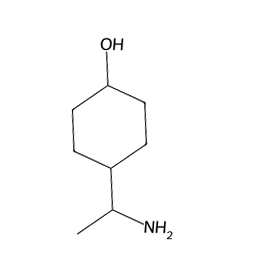 CC(N)C1CCC(O)CC1